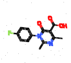 Cc1nc(C)n(-c2ccc(F)cc2)c(=O)c1C(=O)O